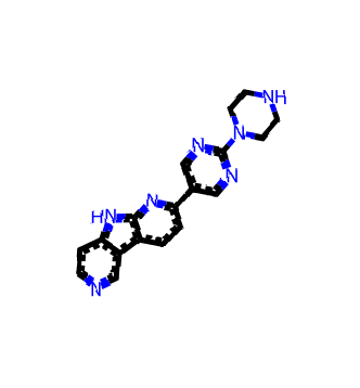 c1cc2[nH]c3nc(-c4cnc(N5CCNCC5)nc4)ccc3c2cn1